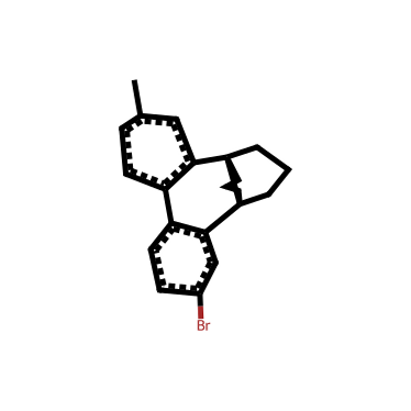 Cc1ccc2c(c1)C13CCCC1(CCC3)c1cc(Br)ccc1-2